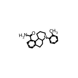 Cc1ccccc1N1CCCC2c3c(cccc3C(N)=O)CCC21